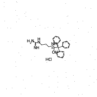 Cl.N=C(N)NCCC[C@H](N)C(O)C(c1ccccc1)(c1ccccc1)c1ccccc1